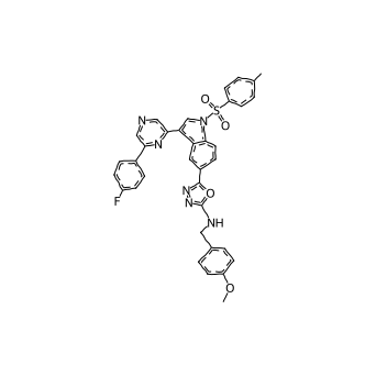 COc1ccc(CNc2nnc(-c3ccc4c(c3)c(-c3cncc(-c5ccc(F)cc5)n3)cn4S(=O)(=O)c3ccc(C)cc3)o2)cc1